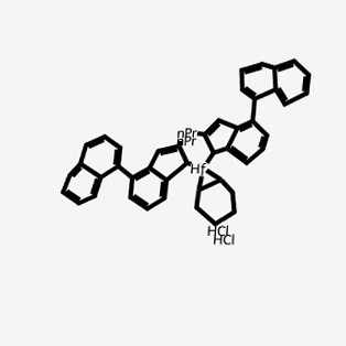 CCCC1=Cc2c(-c3cccc4ccccc34)cccc2[CH]1[Hf]1([CH]2C(CCC)=Cc3c(-c4cccc5ccccc45)cccc32)[CH]2CCCC[CH]21.Cl.Cl